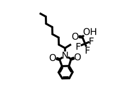 CCCCCCCC(C)N1C(=O)c2ccccc2C1=O.O=C(O)C(F)(F)F